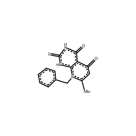 CCCCc1cc(=O)c2c(=O)[nH]c(=O)[nH]c2n1Cc1ccccc1